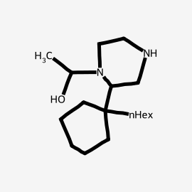 CCCCCCC1(C2CNCCN2C(C)O)CCCCC1